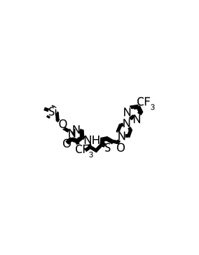 CC(Cc1ccc(C(=O)N2CCN(c3ncc(C(F)(F)F)cn3)CC2)s1)Nc1cnn(COCC[Si](C)(C)C)c(=O)c1C(F)(F)F